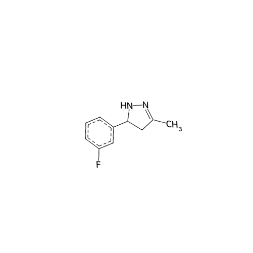 CC1=NNC(c2cccc(F)c2)C1